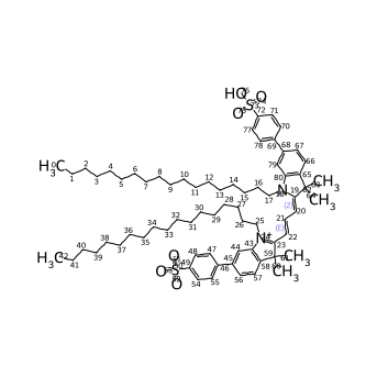 CCCCCCCCCCCCCCCCCCN1/C(=C\C=C\C2=[N+](CCCCCCCCCCCCCCCCCC)c3cc(-c4ccc(S(=O)(=O)[O-])cc4)ccc3C2(C)C)C(C)(C)c2ccc(-c3ccc(S(=O)(=O)O)cc3)cc21